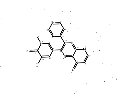 Cn1cc(-c2nc3c(=O)cc[nH]c3nc2-c2ccccc2)cc(Cl)c1=O